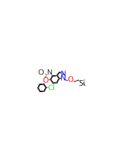 C[Si](C)(C)CCOCn1ncc2c([N+](=O)[O-])c(Oc3ccccc3Cl)ccc21